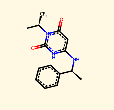 C[C@H](Nc1cc(=O)n([C@@H](C)C(F)(F)F)c(=O)[nH]1)c1ccccc1